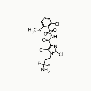 CSc1cccc(Cl)c1S(=O)(=O)NC(=O)c1nc(Cl)n(CCC(N)(F)F)c1Cl